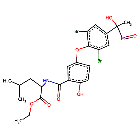 CCOC(=O)C(CC(C)C)NC(=O)c1cc(Oc2c(Br)cc(C(C)(O)P=O)cc2Br)ccc1O